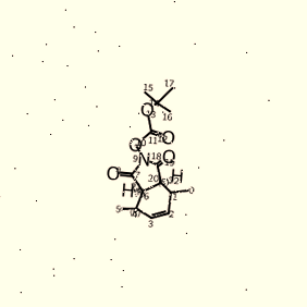 CC1C=C[C@@H](C)[C@H]2C(=O)N(OC(=O)OC(C)(C)C)C(=O)[C@@H]12